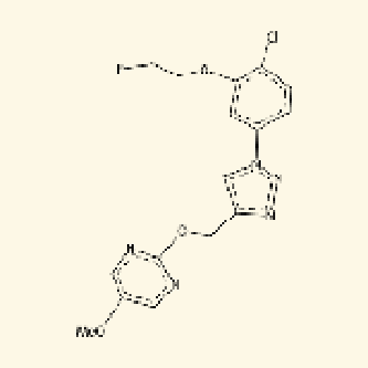 COc1cnc(OCc2cn(-c3ccc(Cl)c(OCCF)c3)nn2)nc1